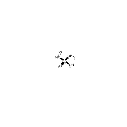 O=P(O)(O)O.[V].[W]